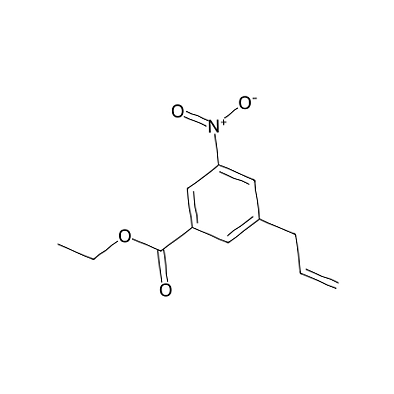 C=CCc1cc(C(=O)OCC)cc([N+](=O)[O-])c1